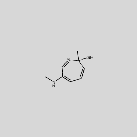 CNC1=CC=CC(C)(S)N=C1